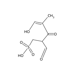 CC(=CO)C(=O)C(C=O)CS(=O)(=O)O